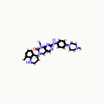 Cc1cccc2c1NCC[C@@H]2N1Cc2cnc(Nc3ccc(N4CCN(C)CC4)cc3)nc2N(C)C1=O